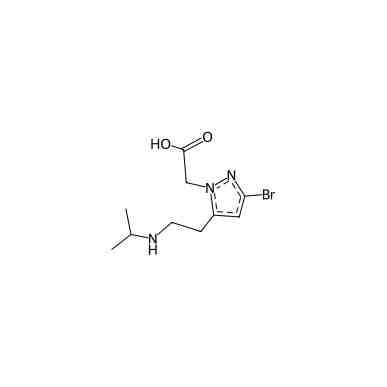 CC(C)NCCc1cc(Br)nn1CC(=O)O